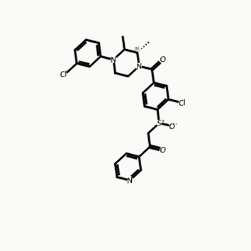 CC1[C@H](C)N(C(=O)c2ccc([S+]([O-])CC(=O)c3cccnc3)c(Cl)c2)CCN1c1cccc(Cl)c1